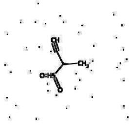 C#CC([CH2])[SH](=O)=O